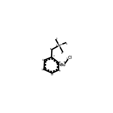 CCCCCl.C[N+](C)(C)Cc1ccccc1